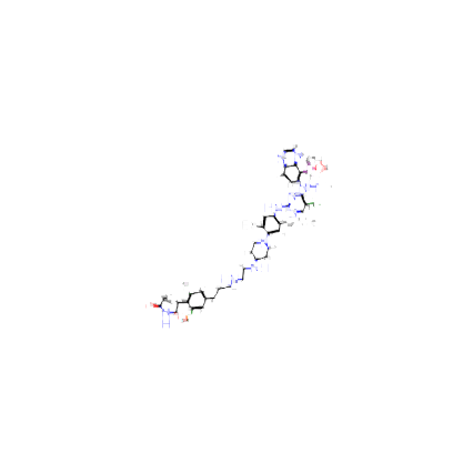 CCc1cc(Nc2ncc(Br)c(Nc3ccc4nccnc4c3P(C)(C)=O)n2)c(OC)cc1N1CCC(NCCNCCCc2cc(F)c(C3CCC(=O)NC3=O)c(F)c2)CC1